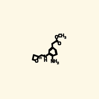 COC(=O)Cc1ccc(N)c(NC[C@@H]2CCO2)c1